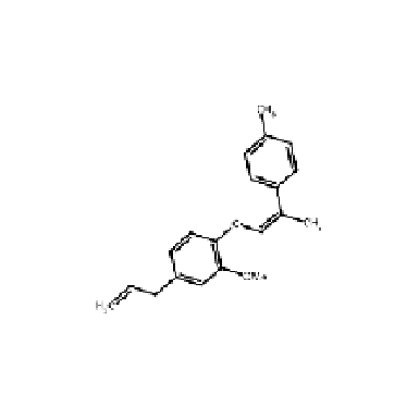 C=CCc1ccc(OC=C(C)c2ccc(C)cc2)c(OC)c1